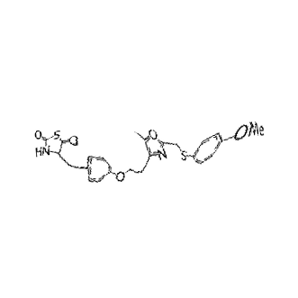 COc1ccc(SCc2nc(CCOc3ccc(CC4NC(=O)SC4=O)cc3)c(C)o2)cc1